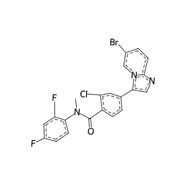 CN(C(=O)c1ccc(-c2cnc3ccc(Br)cn23)cc1Cl)c1ccc(F)cc1F